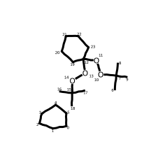 C1CCCCC1.CC(C)(C)OOC1(OOC(C)(C)C)CCCCC1